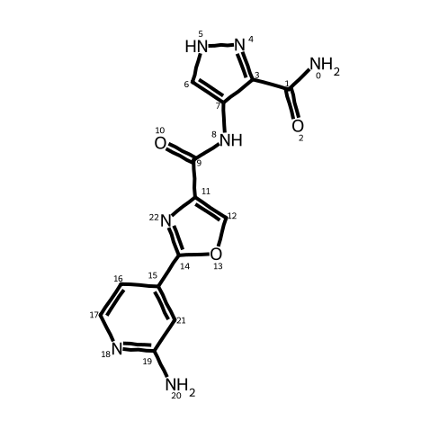 NC(=O)c1n[nH]cc1NC(=O)c1coc(-c2ccnc(N)c2)n1